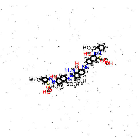 COc1ccc(N=Nc2c(S(=O)(=O)O)cc3c(S(=O)(=O)O)c(N=Nc4c(S(=O)(=O)O)cc5ccc(N=Nc6ccc7c(O)c(N=Nc8ccccc8S(=O)(=O)O)c(SOOO)cc7c6)c(O)c5c4N)ccc3c2O)c(SOOO)c1